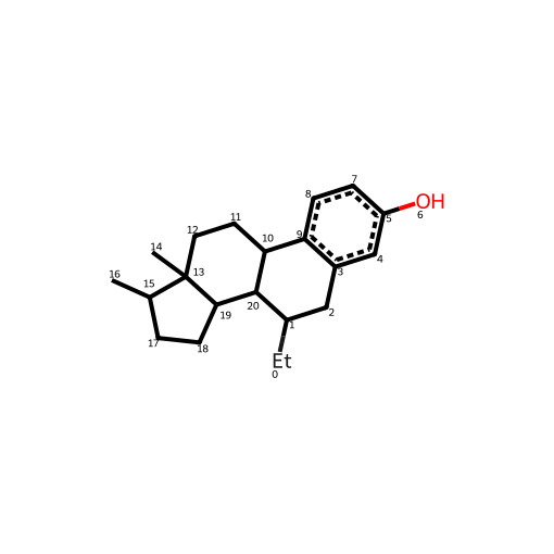 CCC1Cc2cc(O)ccc2C2CCC3(C)C(C)CCC3C12